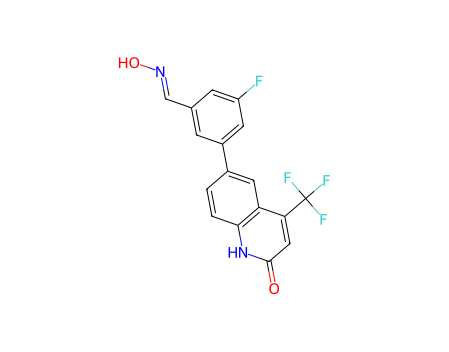 O=c1cc(C(F)(F)F)c2cc(-c3cc(F)cc(C=NO)c3)ccc2[nH]1